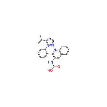 C=C(C)c1ccnn1-c1ccccc1-c1nc2ccccc2cc1NC(=O)O